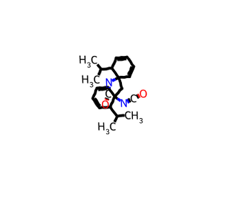 CC(C)C1C=CC=CC1(CC1(N=C=O)C=CC=CC1C(C)C)N=C=O